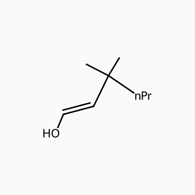 CCCC(C)(C)C=CO